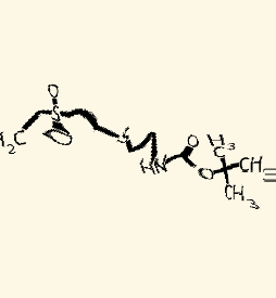 C=CS(=O)(=O)CCSCCNC(=O)OC(C)(C)C